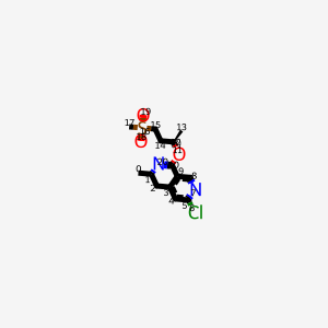 CC1Cc2cc(Cl)ncc2C(O[C@H](C)CCS(C)(=O)=O)=N1